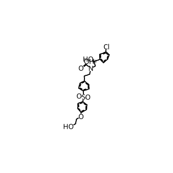 O=C(O)N(CCc1ccc(S(=O)(=O)c2ccc(OCCO)cc2)cc1)C[C@H](O)c1cccc(Cl)c1